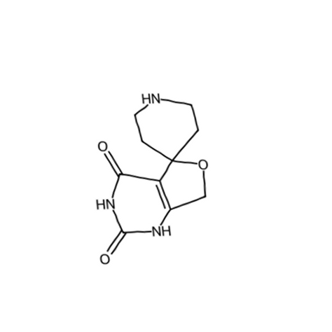 O=c1[nH]c2c(c(=O)[nH]1)C1(CCNCC1)OC2